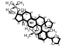 Cc1c(C2OCCO2)cccc1C1C2(CCC3=C4CC[C@@]5(C)[C@@H](CC[C@@]5(C#N)O[Si](C)(C)C)[C@@H]4CC[C@]31O[Si](C)(C)C)OCCO2